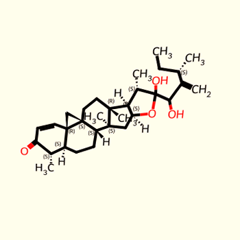 C=C(C(O)C1(O)O[C@H]2C[C@@]3(C)[C@@H]4CC[C@H]5[C@H](C)C(=O)C=C[C@@]56C[C@@]46CC[C@]3(C)[C@H]2[C@@H]1C)[C@@H](C)CC